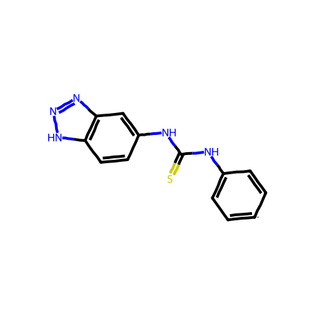 S=C(Nc1cc[c]cc1)Nc1ccc2[nH]nnc2c1